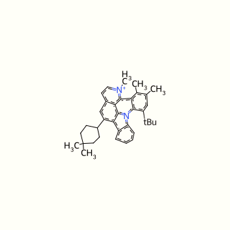 Cc1cc(C(C)(C)C)c2c(c1C)c1c3c(cc[n+]1C)cc(C1CCC(C)(C)CC1)c1c4ccccc4n2c13